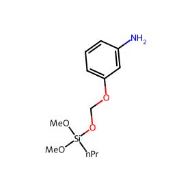 CCC[Si](OC)(OC)OCOc1cccc(N)c1